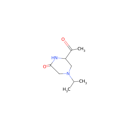 CC(=O)C1CN(C(C)C)CC(=O)N1